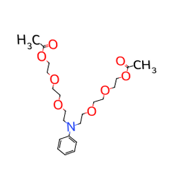 CC(=O)OCCOCCOCCN(CCOCCOCCOC(C)=O)c1ccccc1